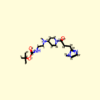 CN(CCNC(=O)OC(C)(C)C)C1CCN(C(=O)CCc2nccn2C)CC1